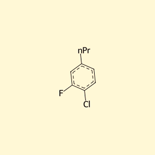 [CH2]CCc1ccc(Cl)c(F)c1